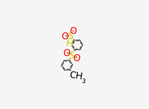 Cc1cccc(S(=O)(=O)c2cccc([SH](=O)=O)c2)c1